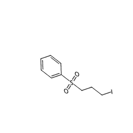 O=S(=O)(CCCI)c1ccccc1